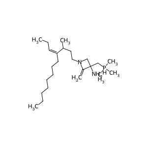 C=C1N(CCC(C)/C(=C\CC)CCCCCCCC)CC1(N)C[PH](C)(C)C